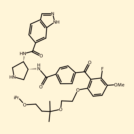 COc1ccc(OCCOC(C)(C)CCOC(C)C)c(C(=O)c2ccc(C(=O)N[C@@H]3CNC[C@@H]3NC(=O)c3ccc4cn[nH]c4c3)cc2)c1F